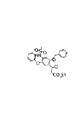 CCOC(=O)CC(=O)c1cc(Oc2ccccc2)c(NS(C)(=O)=O)cc1OCc1ccccc1